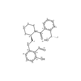 C[C@H](O)c1ncccc1C(=O)N1CCOC[C@@H]1COc1cccc(O)c1C=O